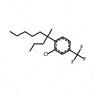 CCCCCC(C)(CCC)c1ccc(C(F)(F)F)cc1Cl